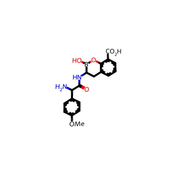 COc1ccc(C(N)C(=O)NC2Cc3cccc(C(=O)O)c3OB2O)cc1